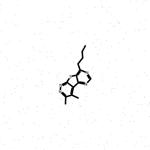 CCCCc1ncnc2c1sc1nnc(C)c(C)c12